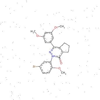 COc1cc(OC)cc(-c2nn(-c3cc(Br)ccc3OC)c(=O)c3c2CCC3)c1